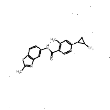 Cc1nc2cc(NC(=O)c3ccc(C4CC4C(F)(F)F)cc3C)ccc2s1